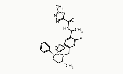 Cc1nnc(C(=O)NC(C)c2cc(F)c(CN3[C@H](C)CC[C@@H](c4ccccc4)S3(=O)=O)cc2F)o1